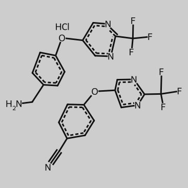 Cl.N#Cc1ccc(Oc2cnc(C(F)(F)F)nc2)cc1.NCc1ccc(Oc2cnc(C(F)(F)F)nc2)cc1